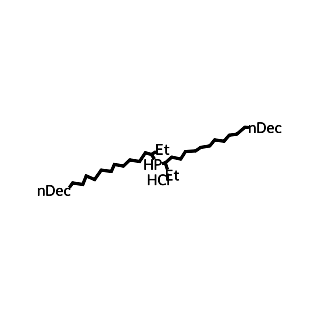 CCCCCCCCCCCCCCCCCCCCCC(CC)PC(CC)CCCCCCCCCCCCCCCCCCCCC.Cl